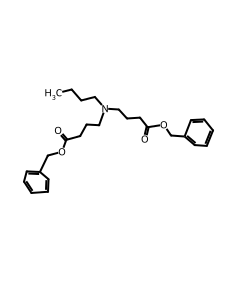 CCCCN(CCCC(=O)OCc1ccccc1)CCCC(=O)OCc1ccccc1